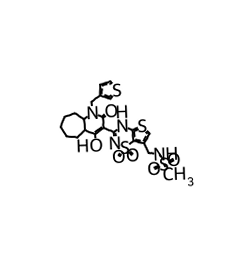 CS(=O)(=O)NCc1csc2c1S(=O)(=O)N=C(C1=C(O)C3CCCCCC3N(Cc3ccsc3)C1=O)N2